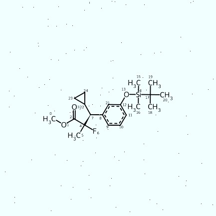 COC(=O)C(C)(F)[C@H](c1cccc(O[Si](C)(C)C(C)(C)C)c1)C1CC1